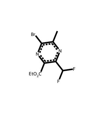 CCOC(=O)c1nc(Br)c(C)nc1C(F)F